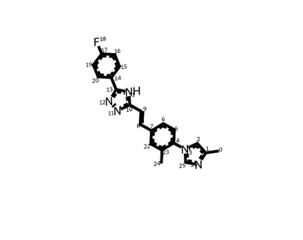 Cc1cn(-c2ccc(/C=C/c3nnc(-c4ccc(F)cc4)[nH]3)cc2C)cn1